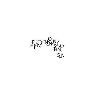 Cc1nc(N2CCN(Cc3ccc(C(F)(F)F)nc3)C2=O)sc1C(=O)NCc1nccs1